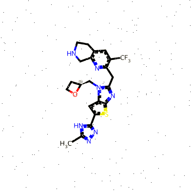 Cc1nnc(-c2cc3c(nc(Cc4nc5c(cc4C(F)(F)F)CCNC5)n3C[C@@H]3CCO3)s2)[nH]1